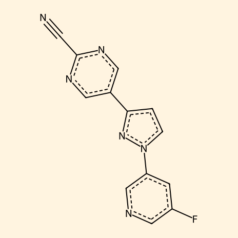 N#Cc1ncc(-c2ccn(-c3cncc(F)c3)n2)cn1